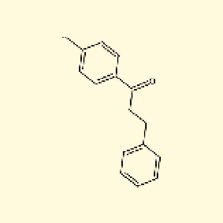 [CH2]c1ccc(C(=O)CCc2ccccc2)cc1